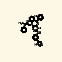 CN(C(=O)CN1C(=O)C(NC(=O)Nc2cccc(-c3nnn[nH]3)c2)N=C(c2ccccc2F)c2ccccc21)c1ccccc1